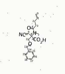 C=CCCC(=O)N(C)C(CC#N)(COCc1ccccc1)C(=O)O